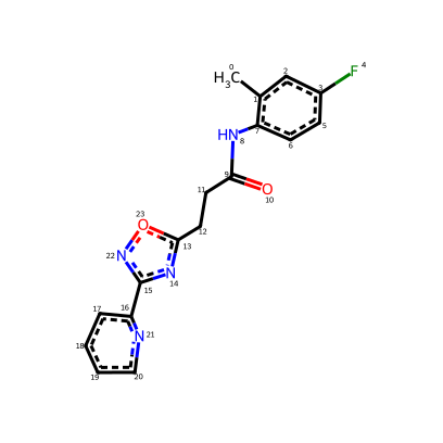 Cc1cc(F)ccc1NC(=O)CCc1nc(-c2ccccn2)no1